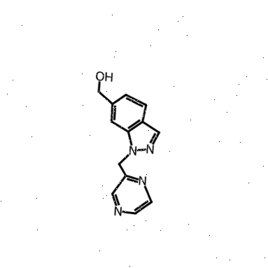 OCc1ccc2cnn(Cc3cnccn3)c2c1